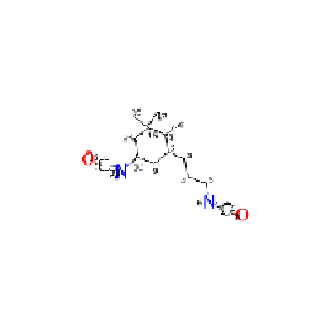 CC1C(CCCN=C=O)CC(N=C=O)CC1(C)C